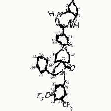 Nc1ccccc1NC(=O)c1ccc(N2CCC3(CC2)C(=O)N(Cc2cc(C(F)(F)F)cc(C(F)(F)F)c2)CN3c2ccccc2)nc1